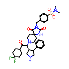 CN(C)S(=O)(=O)c1ccc(CN2C(=O)NC3(CCN(C(C(=O)C4CCC(F)(F)CC4)[C@@H]4CNC[C@@H]4c4ccccc4)CC3)C2=O)cc1